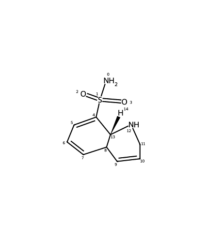 NS(=O)(=O)C1=CC=CC2C=CCN[C@@H]12